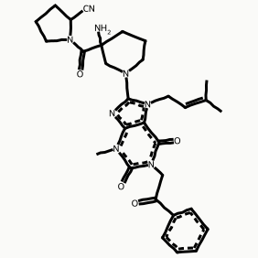 CC(C)=CCn1c(N2CCCC(N)(C(=O)N3CCCC3C#N)C2)nc2c1c(=O)n(CC(=O)c1ccccc1)c(=O)n2C